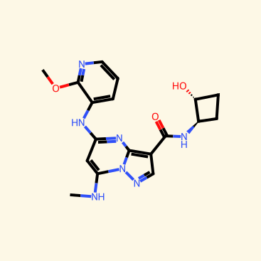 CNc1cc(Nc2cccnc2OC)nc2c(C(=O)N[C@@H]3CC[C@H]3O)cnn12